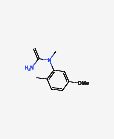 C=C(N)N(C)c1cc(OC)ccc1C